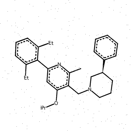 CCc1cccc(CC)c1-c1cc(OC(C)C)c(CN2CCC[C@H](c3ccccc3)C2)c(C)n1